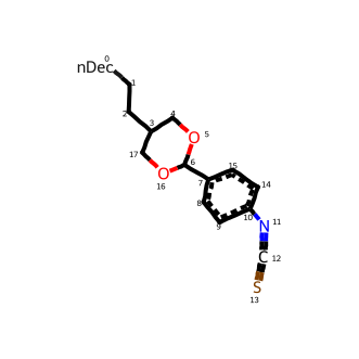 CCCCCCCCCCCCC1COC(c2ccc(N=C=S)cc2)OC1